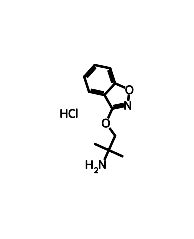 CC(C)(N)COc1noc2ccccc12.Cl